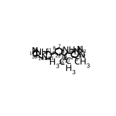 Cc1cc(-c2[nH]c3ccc(C4CCN(Cc5ccn[nH]5)CC4)cc3c2C(C)C)cn2ncnc12